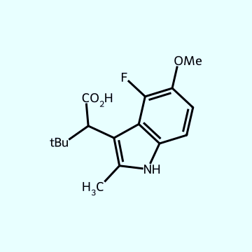 COc1ccc2[nH]c(C)c(C(C(=O)O)C(C)(C)C)c2c1F